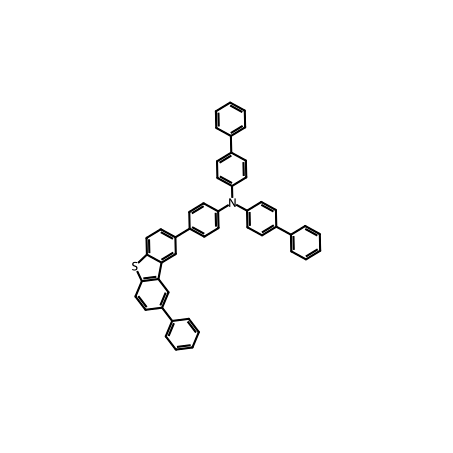 c1ccc(-c2ccc(N(c3ccc(-c4ccccc4)cc3)c3ccc(-c4ccc5sc6ccc(-c7ccccc7)cc6c5c4)cc3)cc2)cc1